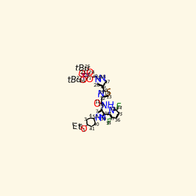 CCOC1CCC(n2cc(NC(=O)c3csc(-c4cnn(COP(=O)(OC(C)(C)C)OC(C)(C)C)c4)n3)c(-c3nc(F)ccc3F)n2)CC1